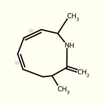 C=C1NC(C)/C=C\C=C/CC1C